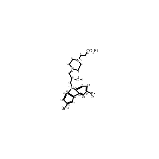 CCOC(=O)CCN1CCN(C[C@@H](O)Cn2c3ccc(Br)cc3c3cc(Br)ccc32)CC1